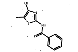 Cc1sc(NC(=S)c2ccccc2)nc1O